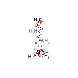 COC(=O)CC(N)CCC(N)CCC[Si](OC)(OC)OC